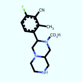 Cc1c(C2CN3CCNCC3CN2C(=O)O)ccc(F)c1C#N